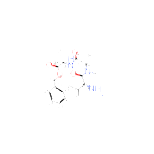 CC(C)[C@H](N)C(=O)N(C)[C@@H](C)C(=O)N[C@@H](C)C(=O)OCc1ccccc1